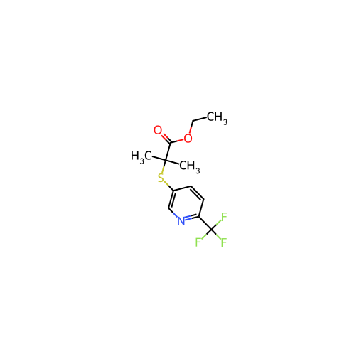 CCOC(=O)C(C)(C)Sc1ccc(C(F)(F)F)nc1